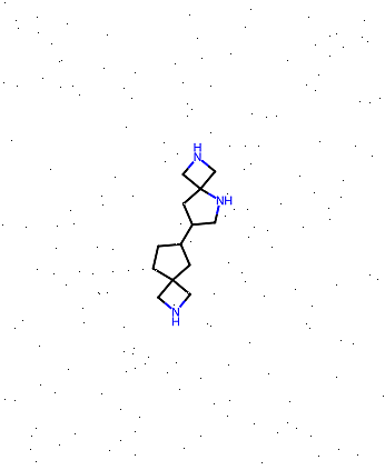 C1CC2(CNC2)CC1C1CNC2(CNC2)C1